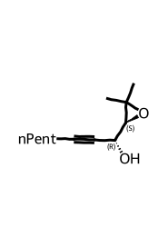 CCCCCC#C[C@@H](O)[C@@H]1OC1(C)C